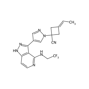 CC=C1CC(C#N)(n2cc(-c3n[nH]c4ccnc(NCC(F)(F)F)c34)cn2)C1